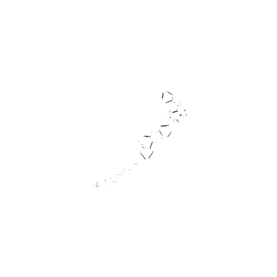 COc1cc2c(Oc3ccc(NC(=O)C4(C(=O)Nc5ccc(F)cc5)CC4)cc3F)ccnc2cc1SCCCCCNC(=O)OC(C)(C)C